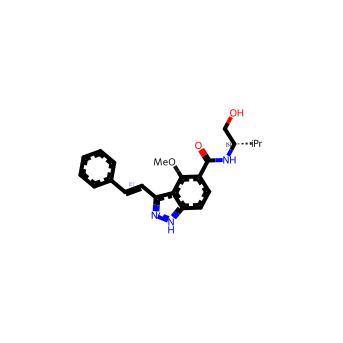 COc1c(C(=O)N[C@H](CO)C(C)C)ccc2[nH]nc(/C=C/c3ccccc3)c12